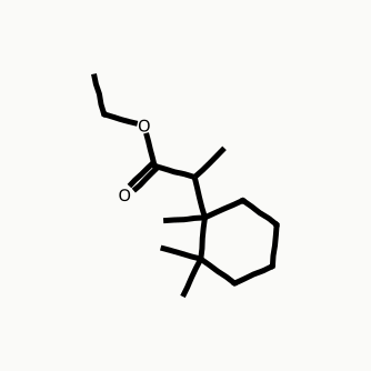 CCOC(=O)C(C)C1(C)CCCCC1(C)C